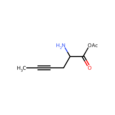 CC#CCC(N)C(=O)OC(C)=O